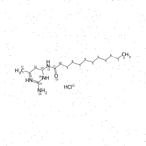 CCCCCCCCCCCC(=O)NC(CCC)NC(=N)N.Cl